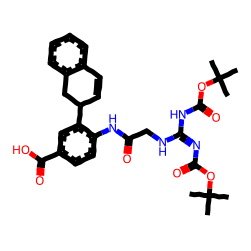 CC(C)(C)OC(=O)/N=C(\NCC(=O)Nc1ccc(C(=O)O)cc1C1C=Cc2ccccc2C1)NC(=O)OC(C)(C)C